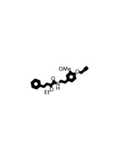 C#CCOc1ccc(CCNC(=O)C(CCc2ccccc2)OCC)cc1OC